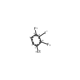 CCc1ccc(F)c(I)c1F